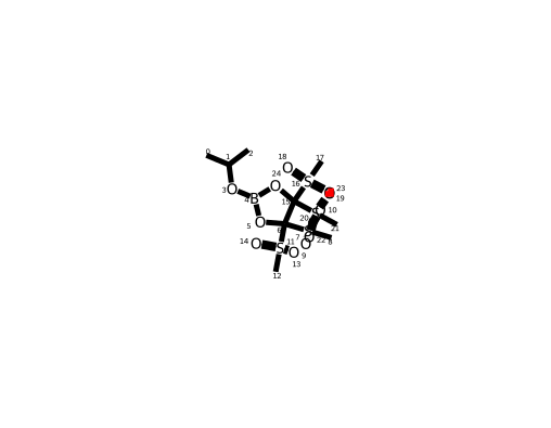 CC(C)OB1OC(S(C)(=O)=O)(S(C)(=O)=O)C(S(C)(=O)=O)(S(C)(=O)=O)O1